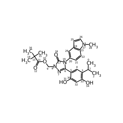 CC(C)c1cc(-c2nn(COC(=O)C(C)(C)C)c(=O)n2-c2ccc3c(ccn3C)c2)c(O)cc1O